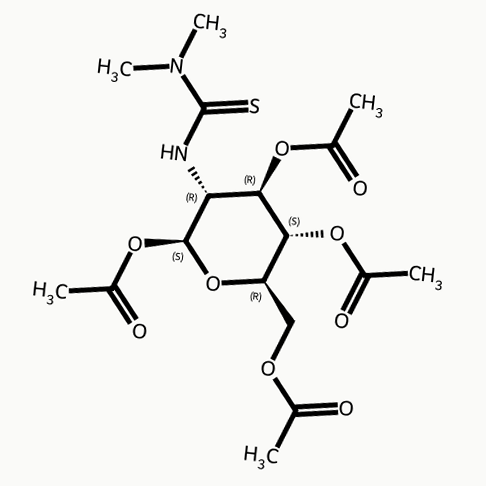 CC(=O)OC[C@H]1O[C@@H](OC(C)=O)[C@H](NC(=S)N(C)C)[C@@H](OC(C)=O)[C@@H]1OC(C)=O